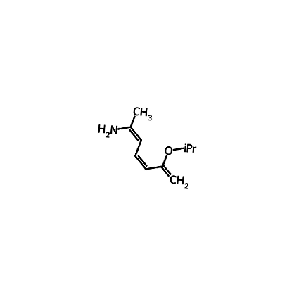 C=C(/C=C\C=C(\C)N)OC(C)C